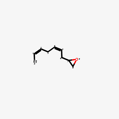 CC/C=C\C/C=C\CC1CO1